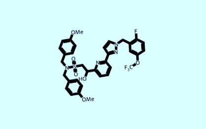 COc1ccc(CN(Cc2ccc(OC)cc2)S(=O)(=O)CC(O)c2cccc(-c3ccn(Cc4cc(OC(F)(F)F)ccc4F)n3)n2)cc1